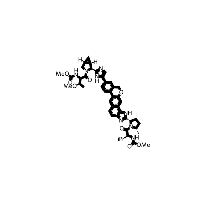 COC(=O)NC(C(=O)N1C[C@H]2C[C@H]2[C@H]1c1ncc(-c2ccc3c(c2)COc2cc4c(ccc5nc([C@@H]6CC[C@H](C)N6C(=O)[C@@H](NC(=O)OC)C(C)C)[nH]c54)cc2-3)[nH]1)[C@@H](C)OC